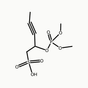 CC#CC(CS(=O)(=O)O)OP(=O)(OC)OC